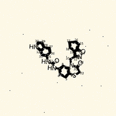 O=C(Nc1ccc2c(c1)N(Cc1noc3ccccc13)C(=O)CS2)Nc1ccc2cc[nH]c2c1